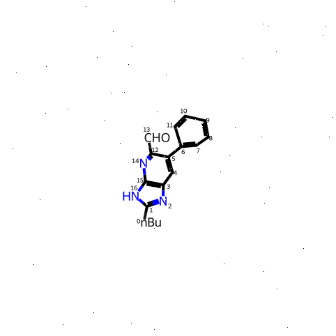 CCCCc1nc2cc(-c3ccccc3)c(C=O)nc2[nH]1